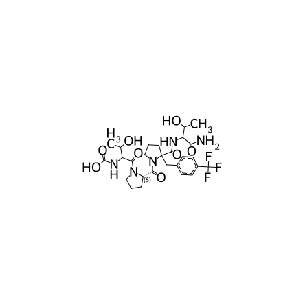 CC(O)C(NC(=O)C1(Cc2ccc(C(F)(F)F)cc2)CCCN1C(=O)[C@@H]1CCCN1C(=O)C(NC(=O)O)C(C)O)C(N)=O